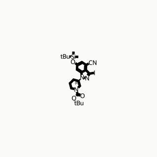 CC(C)(C)OC(=O)N1CCC[C@@H](n2nc(I)c3c(C#N)cc(O[Si](C)(C)C(C)(C)C)cc32)C1